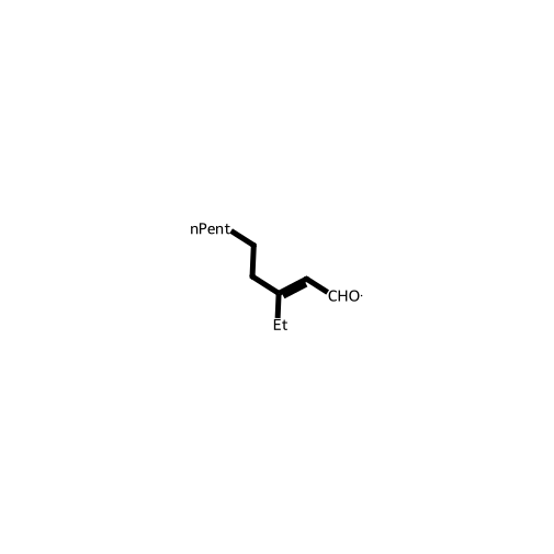 CCCCCCCC(=C[C]=O)CC